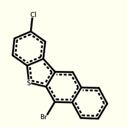 Clc1ccc2sc3c(Br)c4ccccc4cc3c2c1